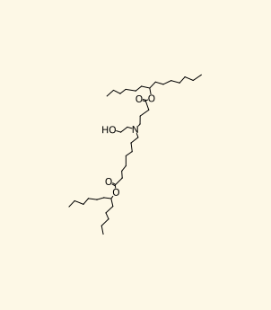 CCCCCCCC(CCCCCC)OC(=O)CCCN(CCO)CCCCCCCC(=O)OC(CCCCC)CCCCCC